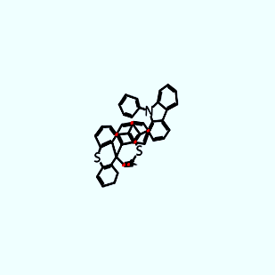 C1=CC2=C(CC1)C1(c3ccccc3Sc3c(-c4cccc5c6ccccc6n(-c6ccccc6)c45)cccc31)c1c(cccc1-c1ccccc1)S2